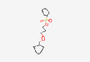 O=S(=O)(OCCCOCc1ccccc1)c1ccccc1